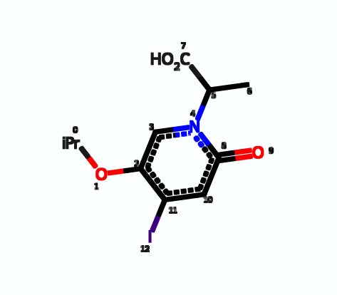 CC(C)Oc1cn(C(C)C(=O)O)c(=O)cc1I